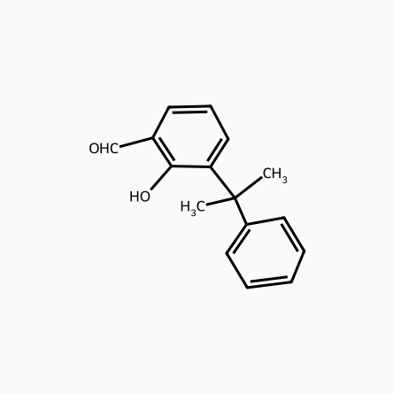 CC(C)(c1ccccc1)c1cccc(C=O)c1O